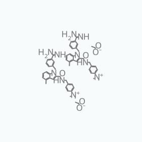 CC(=O)[O-].CC(=O)[O-].Cc1cccc2c1cc(C(=O)NCc1ccc([N+](C)(C)C)cc1)n2Cc1cccc(C(=N)N)c1.Cc1cccc2c1cc(C(=O)NCc1ccc([N+](C)(C)C)cc1)n2Cc1cccc(C(=N)N)c1